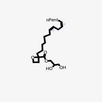 CCCCC/C=C\C/C=C\CCCCCCC1(C(=O)OCC(O)CO)CCO1